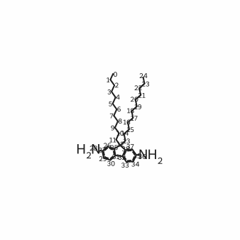 CCCCCCCCCCCCC1(CCCCCCCCCCCC)c2cc(N)ccc2-c2ccc(N)cc21